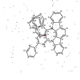 c1ccc(-c2cc(-c3ccccc3)nc(-n3c4ccccc4c4ccc5c6ccccc6n(-c6cccc7ccccc67)c5c43)n2)cc1